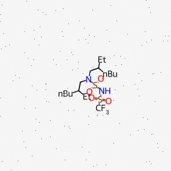 CCCCC(CC)CN(CC(CC)CCCC)S(=O)(=O)NS(=O)(=O)C(F)(F)F